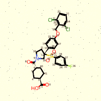 O=C(O)[C@H]1CC[C@H](C(=O)N2CC[C@](c3ccc(OCc4c(Cl)cccc4Cl)cc3)(S(=O)(=O)c3ccc(F)cc3)C2)CC1